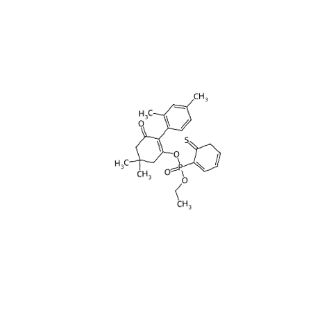 CCOP(=O)(OC1=C(c2ccc(C)cc2C)C(=O)CC(C)(C)C1)C1=CC=CCC1=S